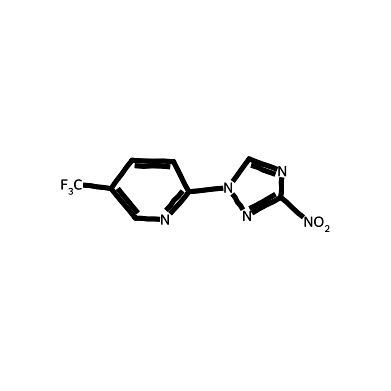 O=[N+]([O-])c1ncn(-c2ccc(C(F)(F)F)cn2)n1